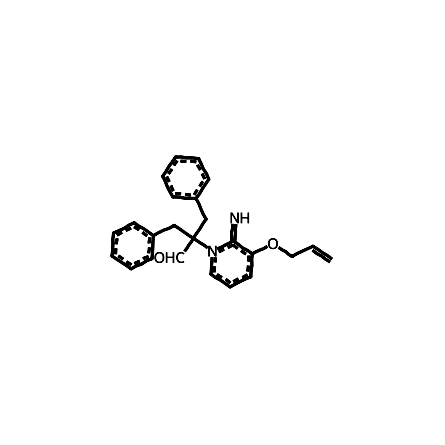 C=CCOc1cccn(C(C=O)(Cc2ccccc2)Cc2ccccc2)c1=N